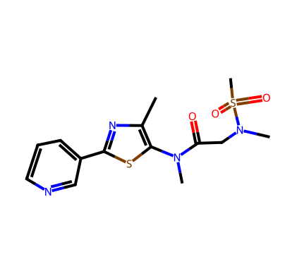 Cc1nc(-c2cccnc2)sc1N(C)C(=O)CN(C)S(C)(=O)=O